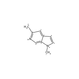 Cc1cc2ccn(C)c2cn1